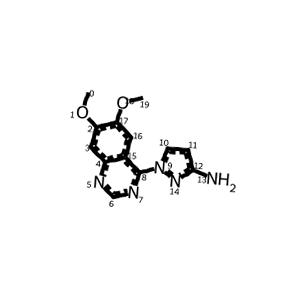 COc1cc2ncnc(-n3ccc(N)n3)c2cc1OC